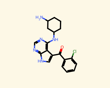 NC1CCCC(Nc2ncnc3[nH]cc(C(=O)c4ccccc4Cl)c23)C1